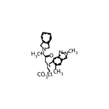 CCOC(=O)CN(CC(=O)N(C)N1Cc2ccccc2C1)c1cc2nn(C)cc2cc1C